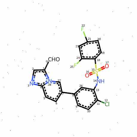 O=Cc1cnc2ccc(-c3ccc(Cl)c(NS(=O)(=O)c4ccc(F)cc4F)c3)cn12